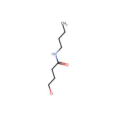 CCCCNC(=O)CCC[O]